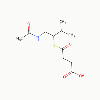 CC(=O)NCC(SC(=O)CCC(=O)O)C(C)C